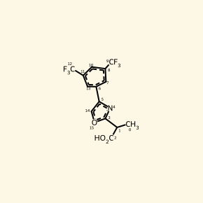 CC(C(=O)O)c1nc(-c2cc(C(F)(F)F)cc(C(F)(F)F)c2)co1